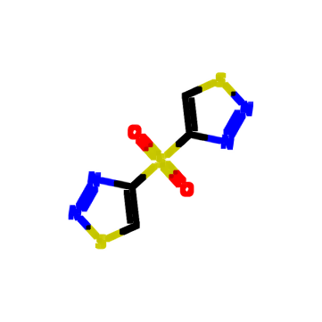 O=S(=O)(c1csnn1)c1csnn1